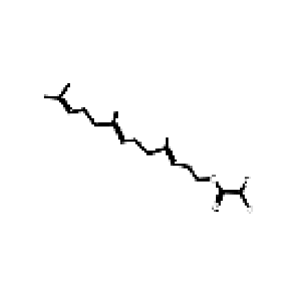 CC(C)=CCC/C(C)=C/CC/C(C)=C/CCOC(=O)C(Cl)Cl